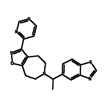 CC(c1ccc2scnc2c1)N1CCc2onc(-c3ccncn3)c2CC1